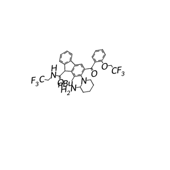 CCCCc1c2c(cc(C(=O)c3ccccc3OCC(F)(F)F)c1N1CCCCC1N)-c1ccccc1C2C(=O)NCC(F)(F)F